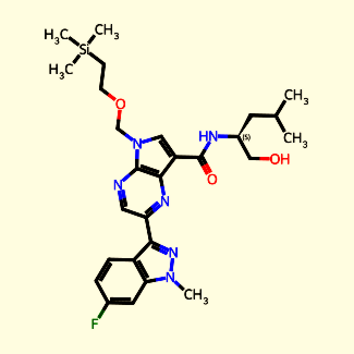 CC(C)C[C@@H](CO)NC(=O)c1cn(COCC[Si](C)(C)C)c2ncc(-c3nn(C)c4cc(F)ccc34)nc12